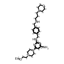 CCOCCN1CCN(c2cc(N)nc(NCc3ccc(CNCCCN4CCOCC4)cc3)n2)CC1